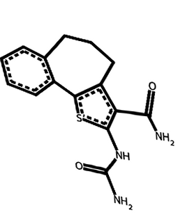 NC(=O)Nc1sc2c(c1C(N)=O)CCCc1ccccc1-2